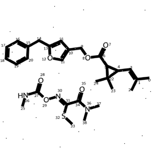 CC(C)=CC1C(C(=O)OCc2coc(Cc3ccccc3)c2)C1(C)C.CNC(=O)ON=C(SC)C(=O)N(C)C